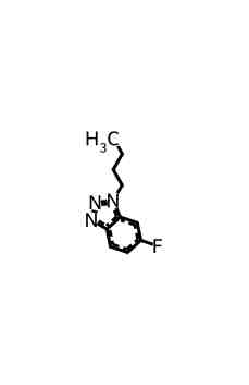 CCCCn1nnc2ccc(F)cc21